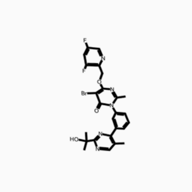 Cc1cnc(C(C)(C)O)nc1-c1cccc(-n2c(C)nc(OCc3ncc(F)cc3F)c(Br)c2=O)c1